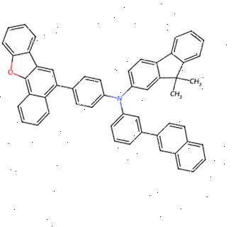 CC1(C)c2ccccc2-c2ccc(N(c3ccc(-c4cc5c6ccccc6oc5c5ccccc45)cc3)c3cccc(-c4ccc5ccccc5c4)c3)cc21